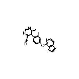 Cc1cc(Oc2nccc3cc[nH]c23)ccc1-c1c(C)ncnc1C#N